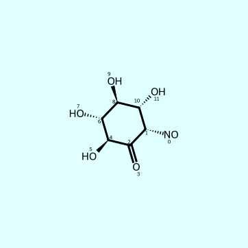 O=N[C@@H]1C(=O)[C@@H](O)[C@H](O)[C@@H](O)[C@@H]1O